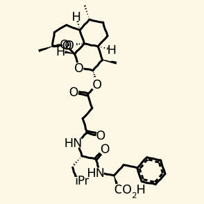 CC(C)C[C@H](NC(=O)CCC(=O)O[C@@H]1O[C@@H]2O[C@@]3(C)CC[C@H]4[C@H](C)CC[C@@H]([C@H]1C)[C@@]24OO3)C(=O)N[C@@H](Cc1ccccc1)C(=O)O